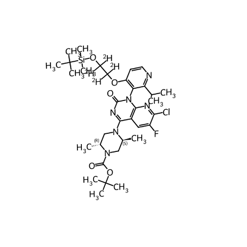 [2H]C([2H])(Oc1ccnc(C(C)C)c1-n1c(=O)nc(N2C[C@@H](C)N(C(=O)OC(C)(C)C)C[C@@H]2C)c2cc(F)c(Cl)nc21)C([2H])([2H])O[Si](C)(C)C(C)(C)C